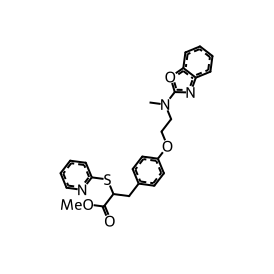 COC(=O)C(Cc1ccc(OCCN(C)c2nc3ccccc3o2)cc1)Sc1ccccn1